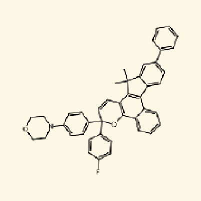 CC1(C)c2cc(-c3ccccc3)ccc2-c2c1c1c(c3ccccc23)OC(c2ccc(F)cc2)(c2ccc(N3CCOCC3)cc2)C=C1